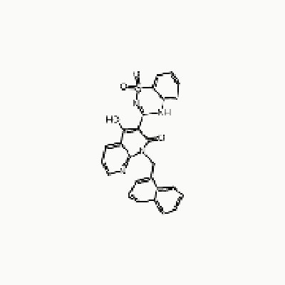 O=c1c(C2=NS(=O)(=O)c3ccccc3N2)c(O)c2cccnc2n1Cc1cccc2ccccc12